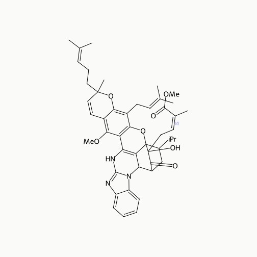 COC(=O)/C(C)=C\CC1(O)C(=O)C2CC(C(C)C)C13Oc1c(CC=C(C)C)c4c(c(OC)c1C1=C3C2n2c(nc3ccccc32)N1)C=CC(C)(CCC=C(C)C)O4